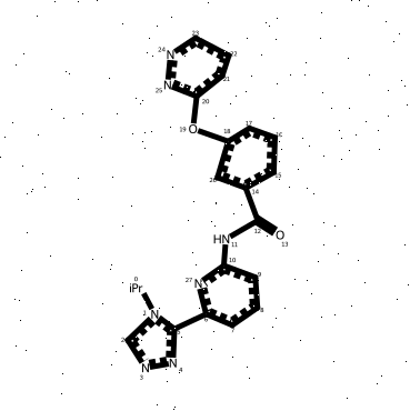 CC(C)n1cnnc1-c1cccc(NC(=O)c2cccc(Oc3cccnn3)c2)n1